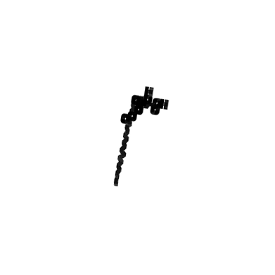 CCCCCCCCCCCCCCCCCC(=O)OCC(CO)OC(=O)CC(O)C(=O)O